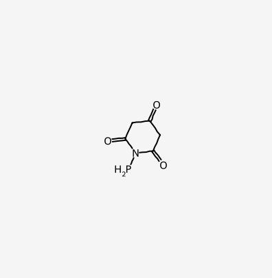 O=C1CC(=O)N(P)C(=O)C1